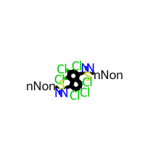 CCCCCCCCCc1nnc(-c2c(Cl)c(Cl)c(Cl)c3c(-c4nnc(CCCCCCCCC)s4)c(Cl)c(Cl)c(Cl)c23)s1